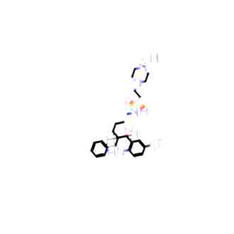 CN1CCN(CCS(=O)(=O)NC[C@H]2CC[C@@H]3[C@H](O2)c2cc(C(F)(F)F)ccc2N[C@H]3c2ccccc2)CC1